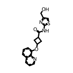 O=C(Nc1nc(CO)cs1)C1CC(Oc2cccc3cccnc23)C1